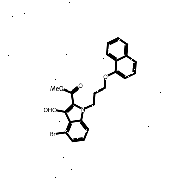 COC(=O)c1c(C=O)c2c(Br)cccc2n1CCCOc1cccc2ccccc12